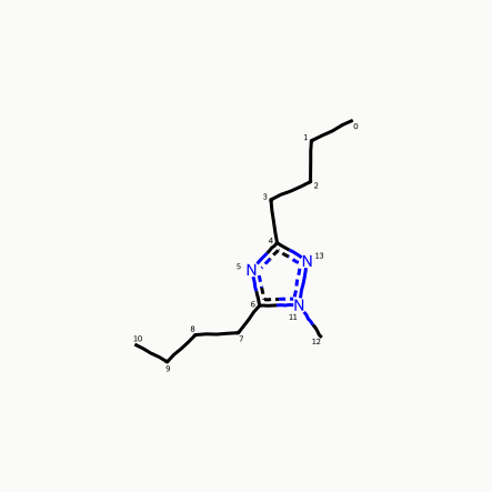 CCCCc1nc(CCCC)n(C)n1